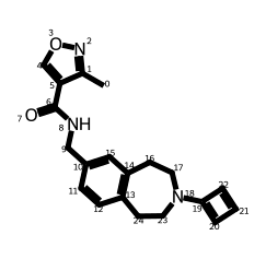 Cc1nocc1C(=O)NCc1ccc2c(c1)CCN(C1=CC=C1)CC2